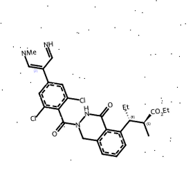 CCOC(=O)[C@@H](C)[C@@H](CC)c1cccc2c1C(=O)NN(C(=O)c1c(Cl)cc(/C(C=N)=C/NC)cc1Cl)C2